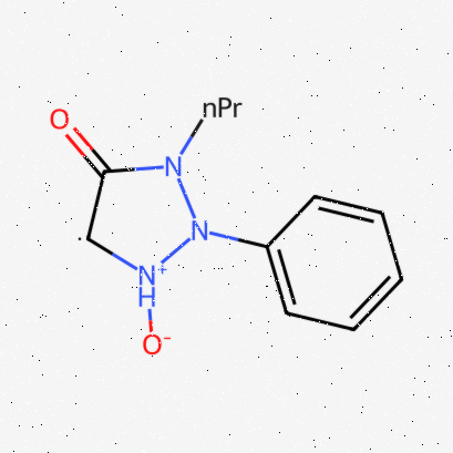 CCCN1C(=O)[CH][NH+]([O-])N1c1ccccc1